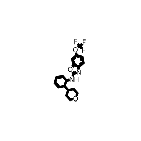 FC(F)(F)Oc1ccc2nc(NC3C=CC=CC3C3CCOCC3)oc2c1